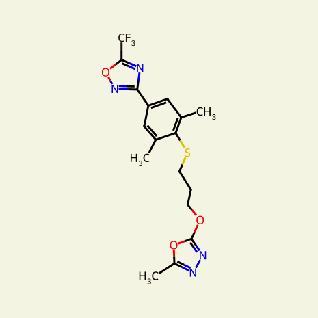 Cc1nnc(OCCCSc2c(C)cc(-c3noc(C(F)(F)F)n3)cc2C)o1